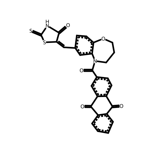 O=C1NC(=S)SC1=Cc1ccc2c(c1)N(C(=O)c1ccc3c(c1)C(=O)c1ccccc1C3=O)CCCO2